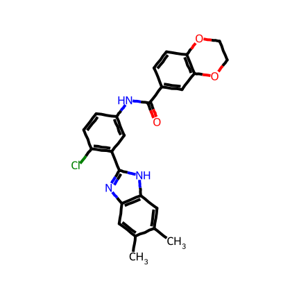 Cc1cc2nc(-c3cc(NC(=O)c4ccc5c(c4)OCCO5)ccc3Cl)[nH]c2cc1C